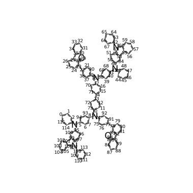 c1ccc(N(c2ccc(N(c3ccc(-c4ccc(N(c5ccc(-c6cccc7c6oc6ccccc67)cc5)c5ccc(N(c6ccccc6)c6ccc7c(c6)c6ccccc6n7-c6ccccc6)cc5)cc4)cc3)c3ccc(-c4cccc5c4oc4ccccc45)cc3)cc2)c2ccc3c(c2)c2ccccc2n3-c2ccccc2)cc1